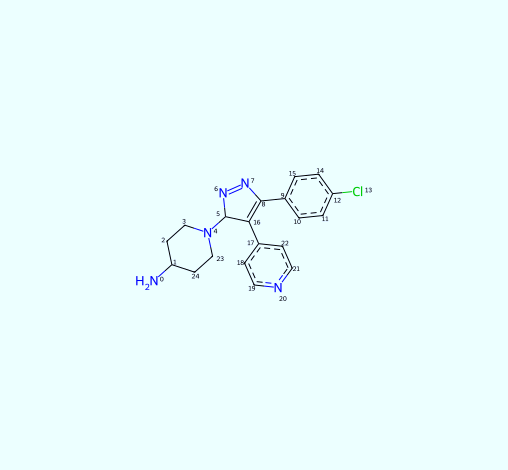 NC1CCN(C2N=NC(c3ccc(Cl)cc3)=C2c2ccncc2)CC1